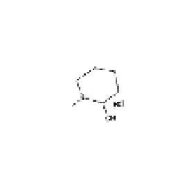 CN1CCCCC1O.Cl